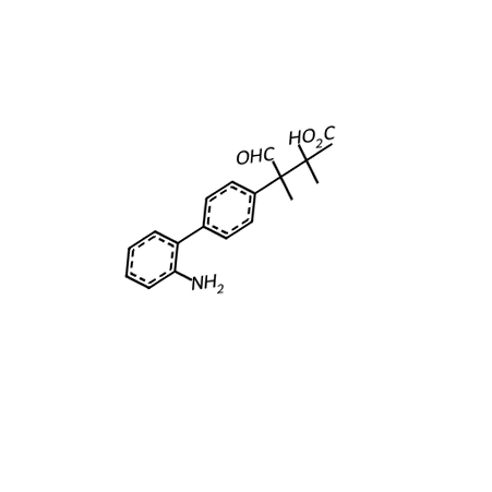 CC(C)(C(=O)O)C(C)(C=O)c1ccc(-c2ccccc2N)cc1